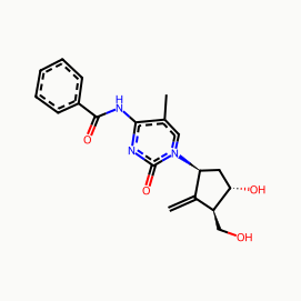 C=C1[C@H](CO)[C@@H](O)C[C@@H]1n1cc(C)c(NC(=O)c2ccccc2)nc1=O